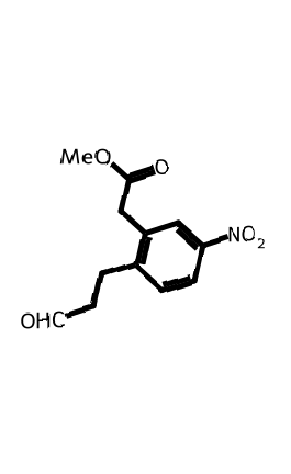 COC(=O)Cc1cc([N+](=O)[O-])ccc1CCC=O